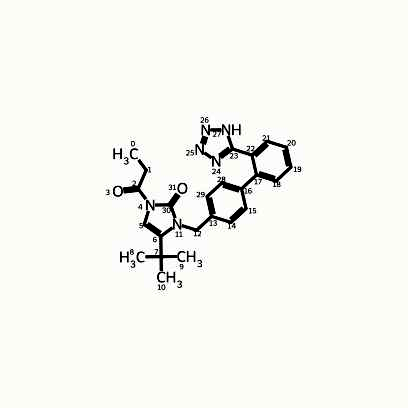 CCC(=O)n1cc(C(C)(C)C)n(Cc2ccc(-c3ccccc3-c3nnn[nH]3)cc2)c1=O